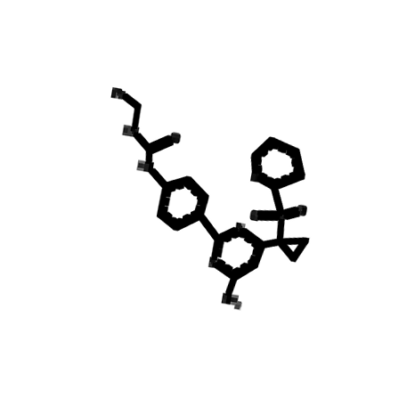 CC(C)CNC(=O)Nc1ccc(-c2nc(N)cc(C3(S(=O)(=O)c4ccccn4)CC3)n2)cc1